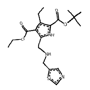 CCOC(=O)c1c(CNCc2cncs2)[nH]c(C(=O)OC(C)(C)C)c1CC